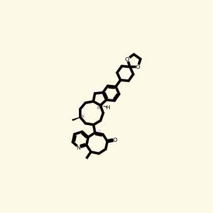 CC1CCC(=O)/C=C(/C2CC[C@@H]3c4ccc(C5CCC6(CC5)OCCO6)cc4CC3CC[C@H](C)C2)c2cccnc21